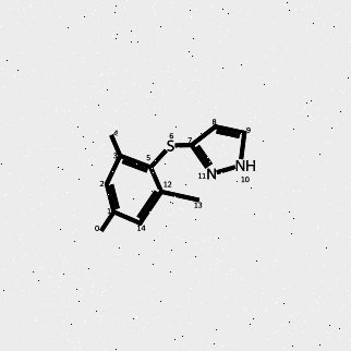 Cc1cc(C)c(Sc2cc[nH]n2)c(C)c1